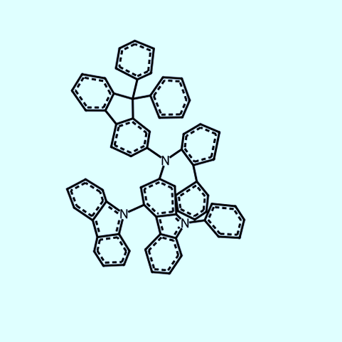 c1ccc(-c2ccccc2N(c2ccc3c(c2)C(c2ccccc2)(c2ccccc2)c2ccccc2-3)c2cc(-n3c4ccccc4c4ccccc43)c3c4ccccc4n(-c4ccccc4)c3c2)cc1